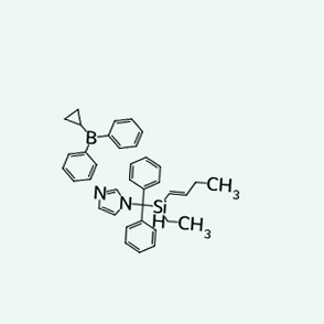 CCC=C[SiH](CC)C(c1ccccc1)(c1ccccc1)n1ccnc1.c1ccc(B(c2ccccc2)C2CC2)cc1